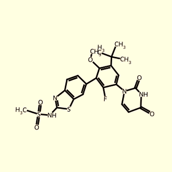 COc1c(C(C)(C)C)cc(-n2ccc(=O)[nH]c2=O)c(F)c1-c1ccc2nc(NS(C)(=O)=O)sc2c1